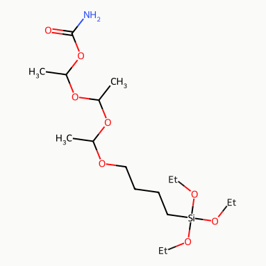 CCO[Si](CCCCOC(C)OC(C)OC(C)OC(N)=O)(OCC)OCC